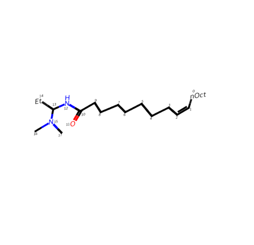 CCCCCCCC/C=C\CCCCCCCC(=O)NC(CC)N(C)C